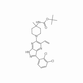 C=Cc1nc2c(-c3cccc(Cl)c3Cl)n[nH]c2nc1N1CCC(C)(NC(=O)OC(C)(C)C)CC1